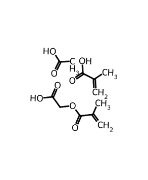 C=C(C)C(=O)O.C=C(C)C(=O)OCC(=O)O.CC(=O)O